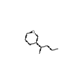 CCCC(C)C1CCCOC1